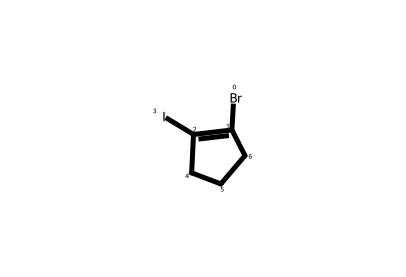 BrC1=C(I)CCC1